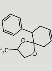 FC(F)(F)C1COC2(CC=CCC2c2ccccc2)O1